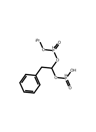 CC(C)O[PH](=O)OC(Cc1ccccc1)O[PH](=O)O